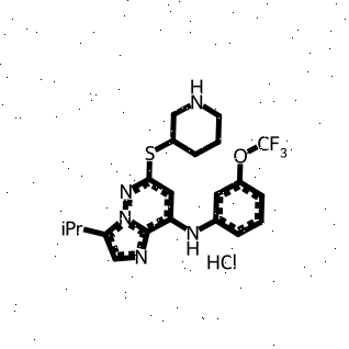 CC(C)c1cnc2c(Nc3cccc(OC(F)(F)F)c3)cc(SC3CCCNC3)nn12.Cl